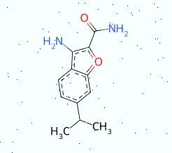 CC(C)c1ccc2c(N)c(C(N)=O)oc2c1